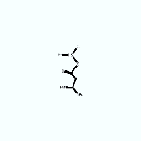 CC[SH](CC)OC(=O)CC(O)C(C)(C)C